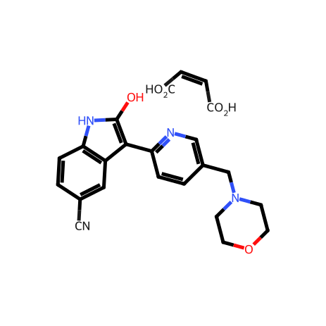 N#Cc1ccc2[nH]c(O)c(-c3ccc(CN4CCOCC4)cn3)c2c1.O=C(O)/C=C\C(=O)O